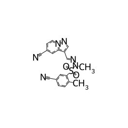 Cc1ccc(C#N)cc1S(=O)(=O)N(C)N=Cc1cnn2ccc(C#N)cc12